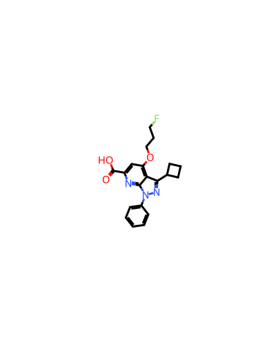 O=C(O)c1cc(OCCCF)c2c(C3CCC3)nn(-c3ccccc3)c2n1